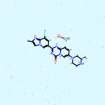 Cc1cn2cc(-c3nc(=O)n4cc(N5CCN[C@H](C)C5)ccc4n3)cc(F)c2n1.O=CO